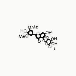 COc1cc(-c2cc(=O)c3c(O[C@@H]4O[C@@H](C)[C@H](O)[C@@H](O)[C@H]4O)cc(O)cc3o2)cc(OC)c1O